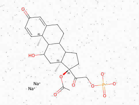 CC(=O)O[C@]1(C(=O)COP(=O)([O-])[O-])CCC2C3CCC4=CC(=O)C=C[C@]4(C)C3C(O)C[C@@]21C.[Na+].[Na+]